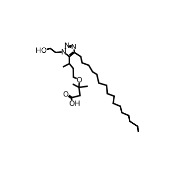 CCCCCCCCCCCCCCCCc1nnn(CCO)c1C(C)CCOC(C)(C)CC(=O)O